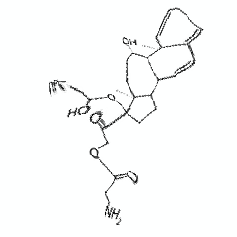 CCCC(O)OC1(C(=O)COC(=O)CN)CCC2C3C=CC4=CCC=C[C@]4(C)C3[C@@H](O)C[C@@]21C